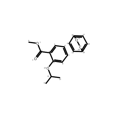 COC(=O)c1ccccc1OC(C)C.c1cc2ccc1CO2